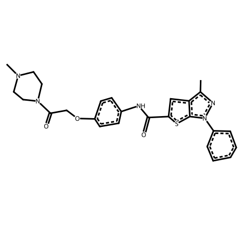 Cc1nn(-c2ccccc2)c2sc(C(=O)Nc3ccc(OCC(=O)N4CCN(C)CC4)cc3)cc12